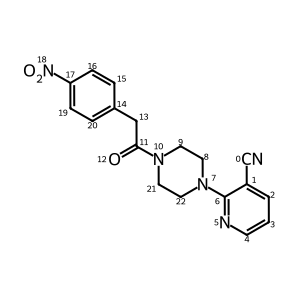 N#Cc1cccnc1N1CCN(C(=O)Cc2ccc([N+](=O)[O-])cc2)CC1